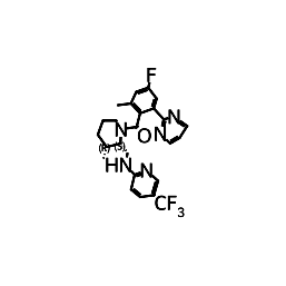 Cc1cc(F)cc(-c2ncccn2)c1C(=O)N1CCC[C@@H](C)[C@H]1CNc1ccc(C(F)(F)F)cn1